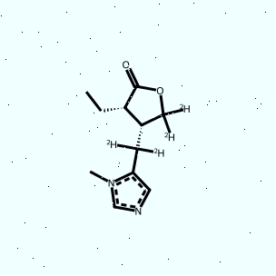 [2H]C1([2H])OC(=O)[C@@H](CC)[C@H]1C([2H])([2H])c1cncn1C